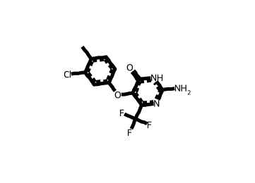 Cc1ccc(Oc2c(C(F)(F)F)nc(N)[nH]c2=O)cc1Cl